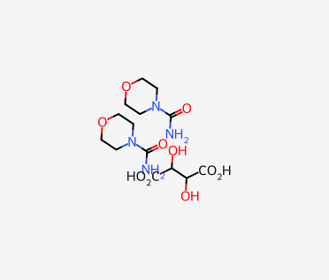 NC(=O)N1CCOCC1.NC(=O)N1CCOCC1.O=C(O)C(O)C(O)C(=O)O